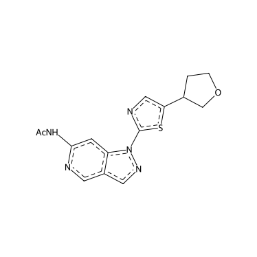 CC(=O)Nc1cc2c(cn1)cnn2-c1ncc(C2CCOC2)s1